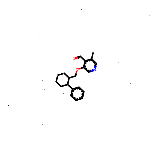 Cc1cncc(OCC2CCCCC2c2ccccc2)c1C=O